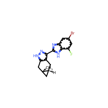 C[C@@]12Cc3[nH]nc(-c4nc5cc(Br)cc(F)c5[nH]4)c3C[C@@H]1C2